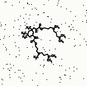 CN(C)CCCN(C)CCCOC(=O)NCC1(C)CC(NC(=O)OCCCN(C)CCCN(C)C)CC(C)(C)C1